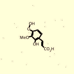 COc1c(OO)ccc(C=CC(=O)O)c1O